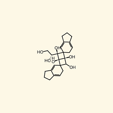 OC[C@@H](O)[C@]1(O)C2(C=C3CCCC3=CC2)[C@]2(O)C(O)C3(C=C4CCCC4=CC3)[C@@]21O